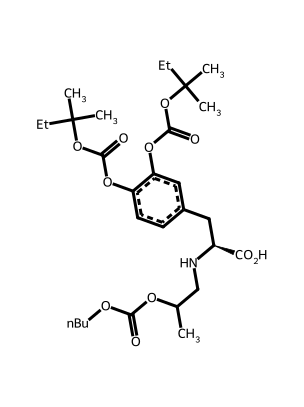 CCCCOC(=O)OC(C)CN[C@@H](Cc1ccc(OC(=O)OC(C)(C)CC)c(OC(=O)OC(C)(C)CC)c1)C(=O)O